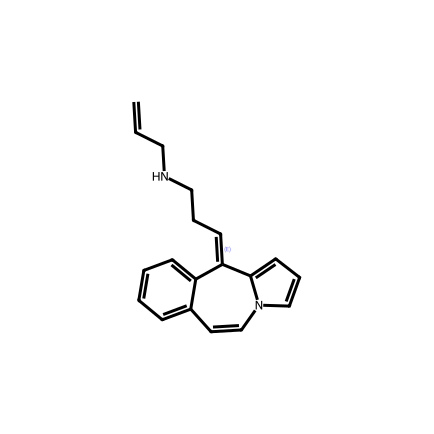 C=CCNCC/C=C1\c2ccccc2C=Cn2cccc21